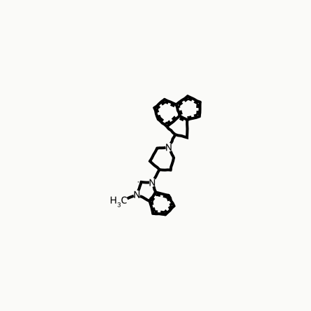 CN1[CH]N(C2CCN(C3Cc4cccc5cccc3c45)CC2)c2ccccc21